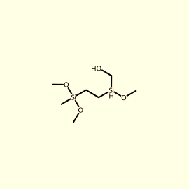 CO[SiH](CO)CC[Si](C)(OC)OC